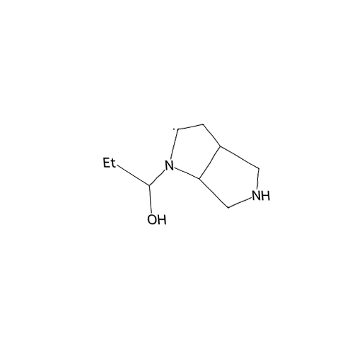 CCC(O)N1[CH]CC2CNCC21